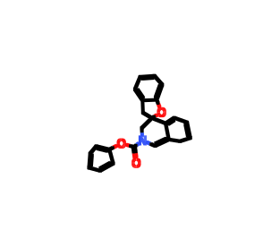 O=C(Oc1ccccc1)N1C=C2CC=CC=C2C2(Cc3ccccc3O2)C1